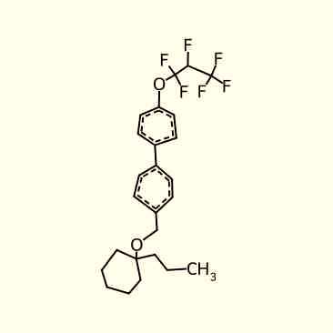 CCCC1(OCc2ccc(-c3ccc(OC(F)(F)C(F)C(F)(F)F)cc3)cc2)CCCCC1